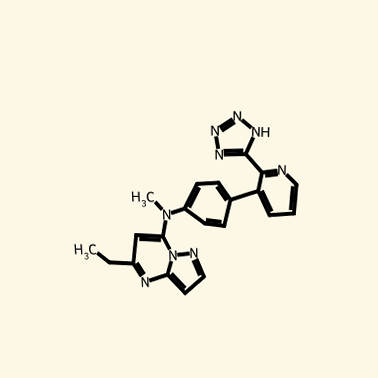 CCc1cc(N(C)c2ccc(-c3cccnc3-c3nnn[nH]3)cc2)n2nccc2n1